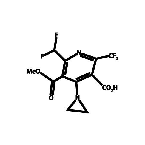 COC(=O)c1c(C(F)F)nc(C(F)(F)F)c(C(=O)O)c1N1CC1